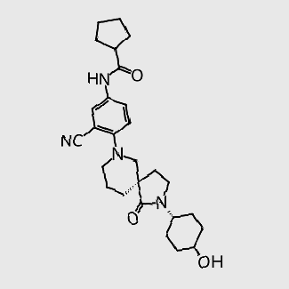 N#Cc1cc(NC(=O)C2CCCC2)ccc1N1CCC[C@@]2(CCN([C@H]3CC[C@H](O)CC3)C2=O)C1